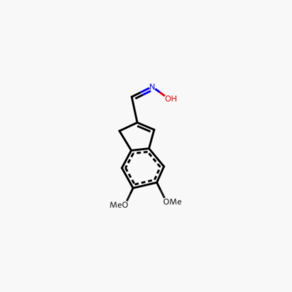 COc1cc2c(cc1OC)CC(/C=N\O)=C2